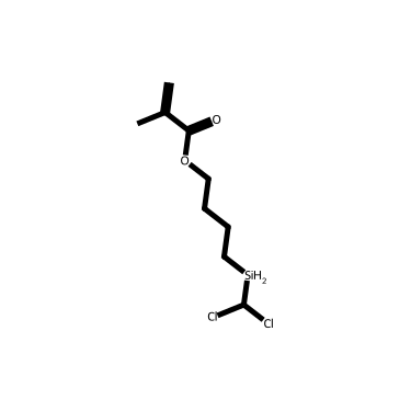 C=C(C)C(=O)OCCCC[SiH2]C(Cl)Cl